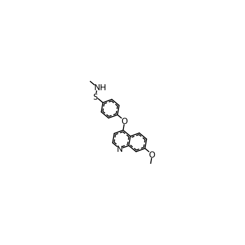 CNSc1ccc(Oc2ccnc3cc(OC)ccc23)cc1